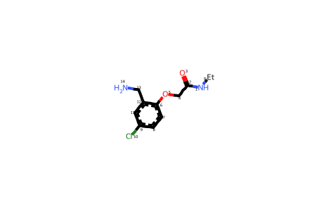 CCNC(=O)COc1ccc(Cl)cc1CN